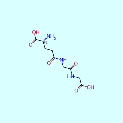 N[C@@H](CCC(=O)NCC(=O)NCC(=O)O)C(=O)O